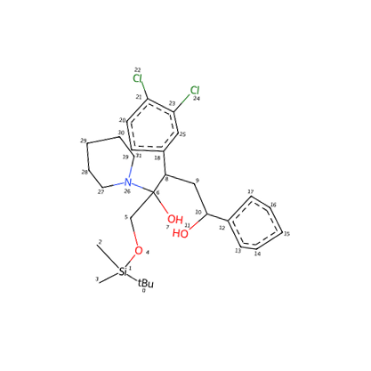 CC(C)(C)[Si](C)(C)OCC(O)(C(CC(O)c1ccccc1)c1ccc(Cl)c(Cl)c1)N1CCCCC1